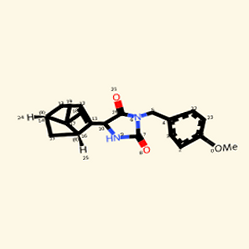 COc1ccc(CN2C(=O)NC(C3=CC[C@H]4C[C@@H]3C4(C)C)C2=O)cc1